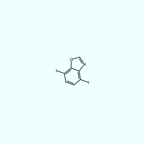 Ic1ccc(I)c2ocnc12